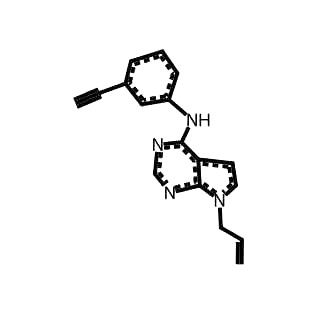 C#Cc1cccc(Nc2ncnc3c2ccn3CC=C)c1